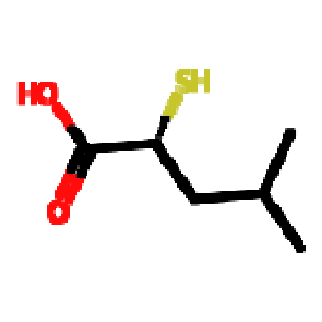 CC(C)C[C@@H](S)C(=O)O